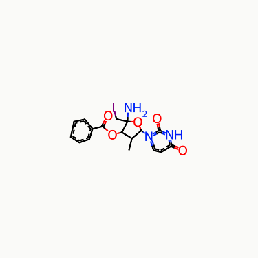 CC1C(n2ccc(=O)[nH]c2=O)OC(N)(CI)C1OC(=O)c1ccccc1